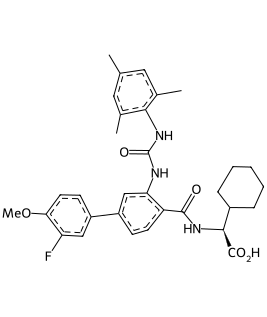 COc1ccc(-c2ccc(C(=O)N[C@H](C(=O)O)C3CCCCC3)c(NC(=O)Nc3c(C)cc(C)cc3C)c2)cc1F